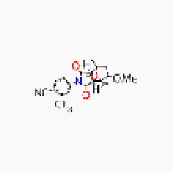 COC1CC2(C)O[C@]1(C)[C@H]1C(=O)N(c3ccc(C#N)c(C(F)(F)F)c3)C(=O)[C@@H]12